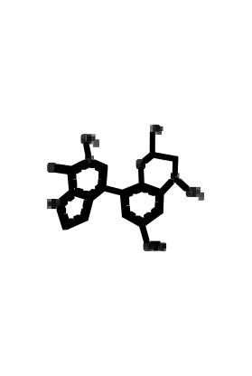 COc1cc(-c2cn(C)c(=O)c3[nH]ccc23)c2c(c1)N(C)CC(C(C)C)O2